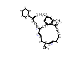 Cc1cc(C)c2c(c1)CC(=N\OCC(=O)N1CCCCC1)/C=C/CC(C)/C=C/CCCOC2=O